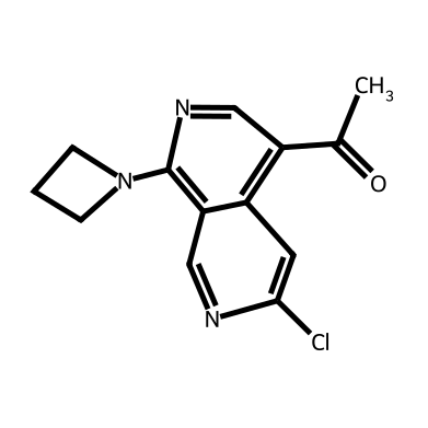 CC(=O)c1cnc(N2CCC2)c2cnc(Cl)cc12